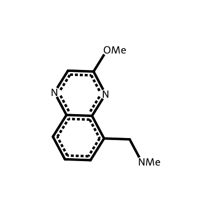 CNCc1cccc2ncc(OC)nc12